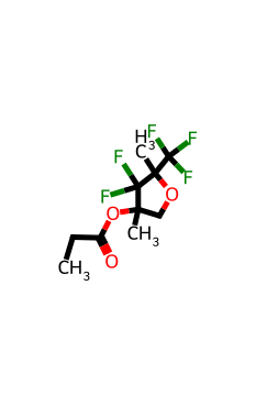 CCC(=O)OC1(C)COC(C)(C(F)(F)F)C1(F)F